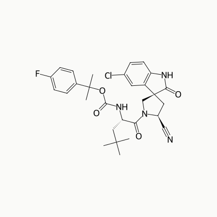 CC(C)(C)C[C@H](NC(=O)OC(C)(C)c1ccc(F)cc1)C(=O)N1C[C@]2(C[C@H]1C#N)C(=O)Nc1ccc(Cl)cc12